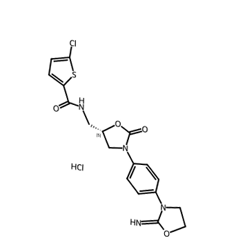 Cl.N=C1OCCN1c1ccc(N2C[C@H](CNC(=O)c3ccc(Cl)s3)OC2=O)cc1